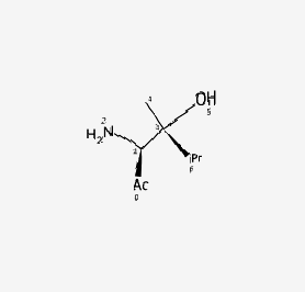 CC(=O)[C@@H](N)[C@](C)(O)C(C)C